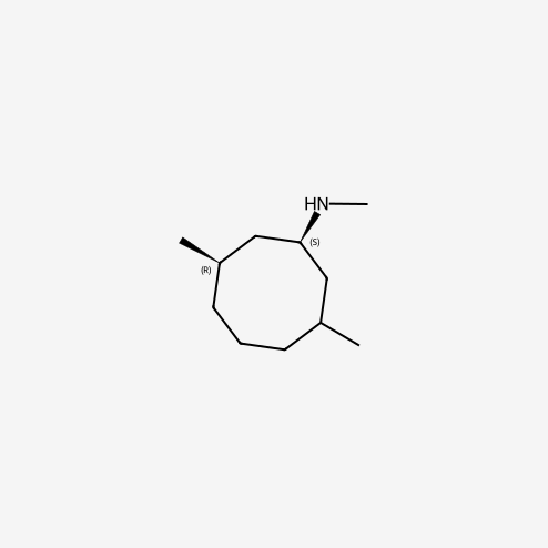 CN[C@H]1CC(C)CCC[C@@H](C)C1